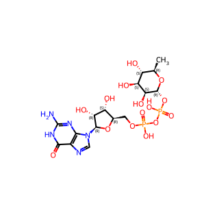 C[C@H]1O[C@H](OP(=O)(O)OP(=O)(O)OC[C@H]2O[C@@H](n3cnc4c(=O)[nH]c(N)nc43)[C@H](O)[C@@H]2O)[C@@H](O)[C@@H](O)[C@@H]1O